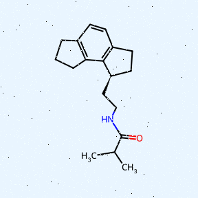 CC(C)C(=O)NCC[C@@H]1CCc2ccc3c(c21)CCC3